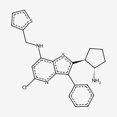 N[C@H]1CCC[C@@H]1c1sc2c(NCc3cccs3)cc(Cl)nc2c1-c1ccccc1